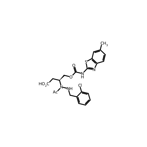 CC(=O)N(NCc1ccccc1Cl)[C@H](COC(=O)Nc1nc2ccc(C)cc2s1)CC(=O)O